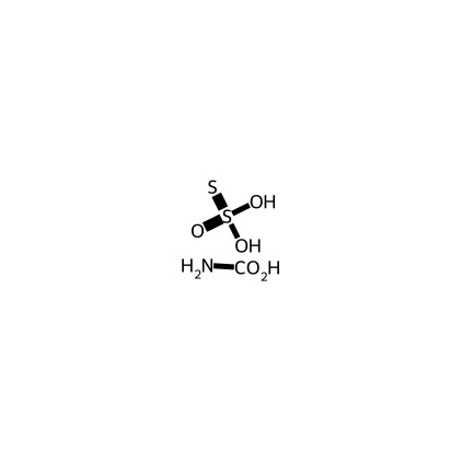 NC(=O)O.O=S(O)(O)=S